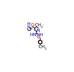 [CH2]C1CN=C(C(=N)NOCc2ccc(C)cc2)C=C1C(=O)[C@@H]1CCCN1